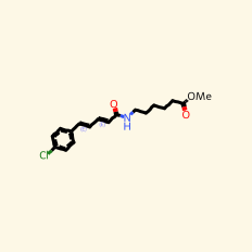 COC(=O)CCCCCNC(=O)/C=C/C=C/c1ccc(Cl)cc1